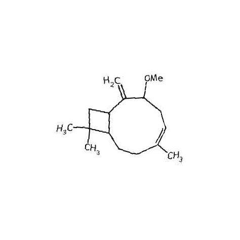 C=C1C(OC)CC=C(C)CCC2C1CC2(C)C